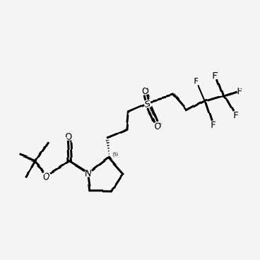 CC(C)(C)OC(=O)N1CCC[C@H]1CCCS(=O)(=O)CCC(F)(F)C(F)(F)F